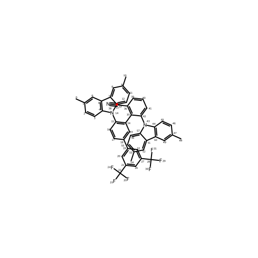 Cc1ccc2c(c1)c1cc(C)ccc1n2-c1ccc(-c2cc(C(F)(F)F)cc(C(F)(F)F)c2)cc1-c1c(C#N)cccc1-n1c2ccc(C)cc2c2cc(C)ccc21